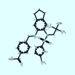 Cc1csc(S(=O)(=O)N(CC(C)(C)O)c2cc3c(cc2OCc2ccc(C(=O)O)cc2)CCC3)n1